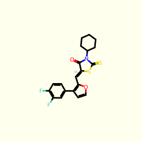 O=C1/C(=C/c2occc2-c2ccc(F)c(F)c2)SC(=S)N1C1CCCCC1